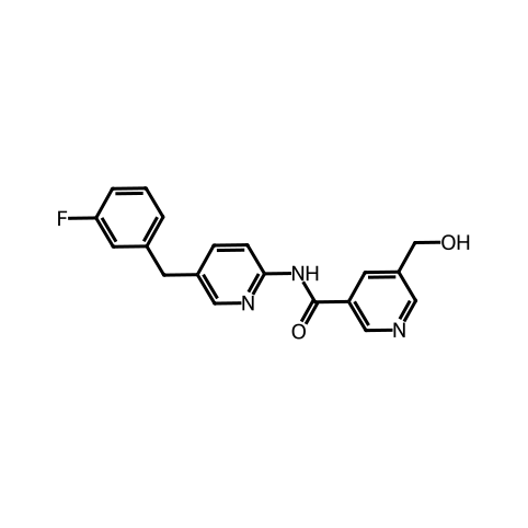 O=C(Nc1ccc(Cc2cccc(F)c2)cn1)c1cncc(CO)c1